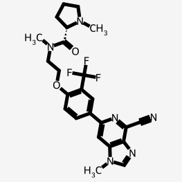 CN(CCOc1ccc(-c2cc3c(ncn3C)c(C#N)n2)cc1C(F)(F)F)C(=O)[C@@H]1CCCN1C